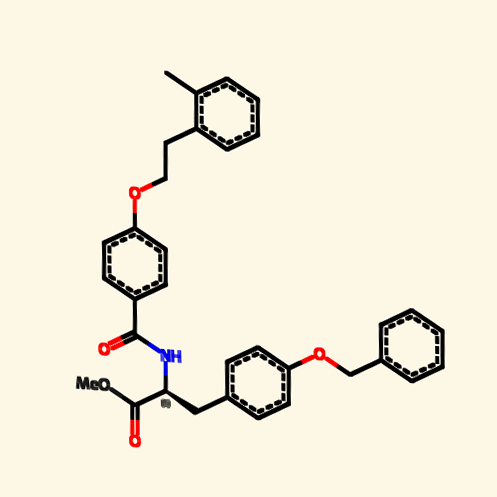 COC(=O)[C@H](Cc1ccc(OCc2ccccc2)cc1)NC(=O)c1ccc(OCCc2ccccc2C)cc1